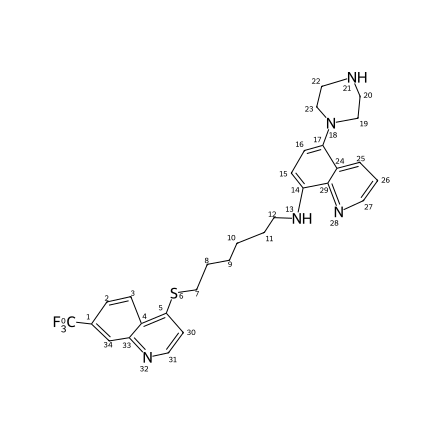 FC(F)(F)c1ccc2c(SCCCCCCNc3ccc(N4CCNCC4)c4cccnc34)ccnc2c1